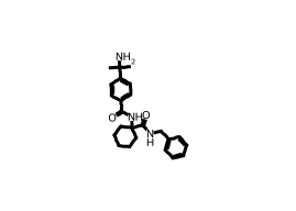 CC(C)(N)c1ccc(C(=O)NC2(C(=O)NCc3ccccc3)CCCCC2)cc1